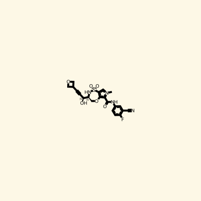 Cn1cc2c(c1C(=O)Nc1ccc(F)c(C#N)c1)OC[C@@H]([C@@H](O)C#CC1COC1)NS2(=O)=O